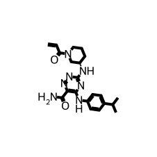 C=CC(=O)N1CCC[C@H](Nc2nnc(C(N)=O)c(Nc3ccc(C(C)C)cc3)n2)C1